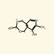 Cc1ncc2c(c1O)COC(C(C)C)OC2